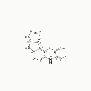 c1ccc2c(c1)Cc1c(ccc3sc4ccccc4c13)N2